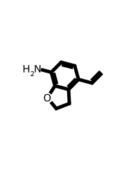 C=Cc1ccc(N)c2c1CCO2